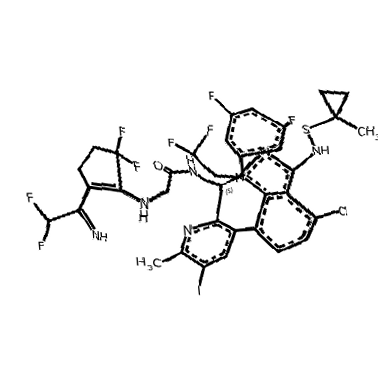 Cc1nc([C@H](Cc2cc(F)cc(F)c2)NC(=O)CNC2=C(C(=N)C(F)F)CCC2(F)F)c(-c2ccc(Cl)c3c(NSC4(C)CC4)nn(CC(F)F)c23)cc1I